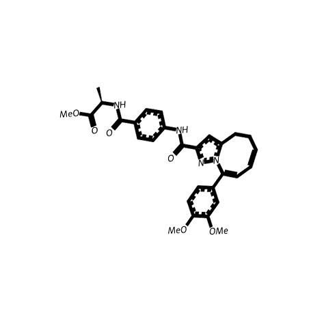 COC(=O)[C@@H](C)NC(=O)c1ccc(NC(=O)c2cc3n(n2)/C(c2ccc(OC)c(OC)c2)=C\C=C/CC3)cc1